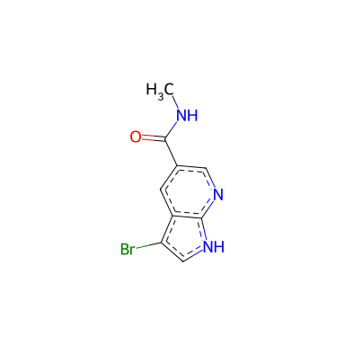 CNC(=O)c1cnc2[nH]cc(Br)c2c1